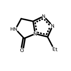 CCc1nnc2n1C(=O)NC2